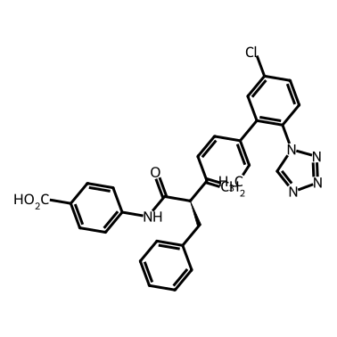 C=C(/C=C\C(=C/C)c1cc(Cl)ccc1-n1cnnn1)[C@@H](Cc1ccccc1)C(=O)Nc1ccc(C(=O)O)cc1